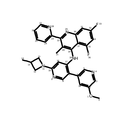 COc1cncc(-c2cnc(N3CC(C)C3)cc2Nc2c(C)c(-c3ccccn3)nc3cc(F)cc(F)c23)c1